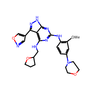 COc1cc(N2CCOCC2)ccc1Nc1nc(NCC2CCCO2)c2c(-c3cnoc3)n[nH]c2n1